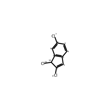 ClC1=Cc2ccc(Cl)cc2C1Cl